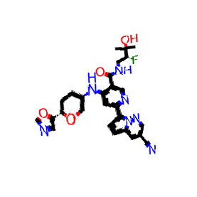 CC(C)(O)[C@H](F)CNC(=O)c1cnc(-c2ccc3cc(C#N)cnn23)cc1N[C@@H]1CC[C@@H](c2cnco2)OC1